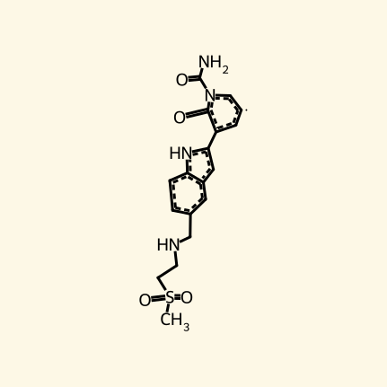 CS(=O)(=O)CCNCc1ccc2[nH]c(-c3c[c]cn(C(N)=O)c3=O)cc2c1